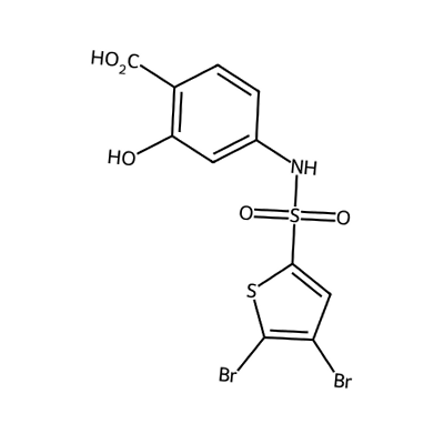 O=C(O)c1ccc(NS(=O)(=O)c2cc(Br)c(Br)s2)cc1O